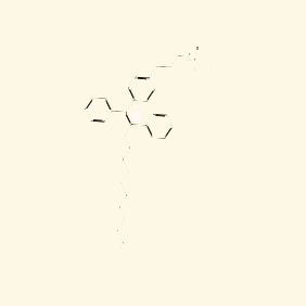 CCCCCCCCCCC/C(=C(\c1ccccc1)c1ccc(CCCN(C)C)cc1)c1ccccc1